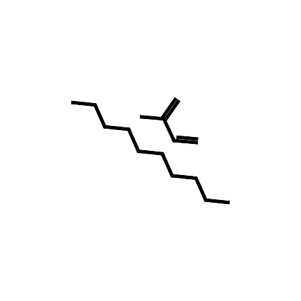 C=CC(=C)C.CCCCCCCCCC